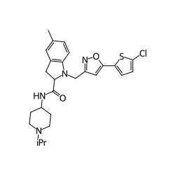 Cc1ccc2c(c1)CC(C(=O)NC1CCN(C(C)C)CC1)N2Cc1cc(-c2ccc(Cl)s2)on1